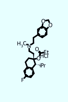 CCC(=O)O[C@@]1(CCN(C)CCc2ccc3c(c2)OCO3)CCc2cc(F)ccc2[C@H]1C(C)C.Cl